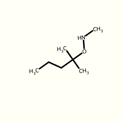 CCCC(C)(C)ONC